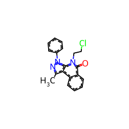 Cc1nn(-c2ccccc2)c2c1c1ccccc1c(=O)n2CCCl